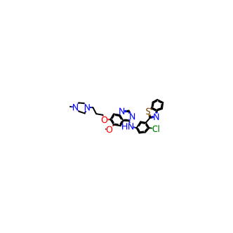 COc1cc2c(Nc3ccc(Cl)c(-c4nc5ccccc5s4)c3)ncnc2cc1OCCCN1CCN(C)CC1